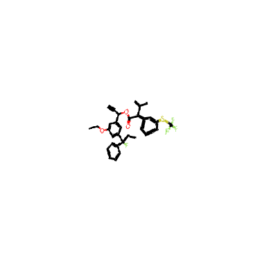 C#CC(OC(=O)C(c1cccc(SC(F)(F)F)c1)C(C)C)c1cc(OCC)cc(C(F)(CC)c2ccccc2)c1